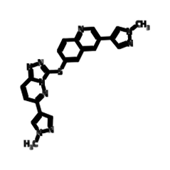 Cn1cc(-c2cnc3ccc(Sc4nnc5ccc(-c6cnn(C)c6)nn45)cc3c2)cn1